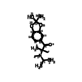 BC(B)N(C)C(B)(C)C(=O)c1ccc2c(c1)OC(B)(O)O2